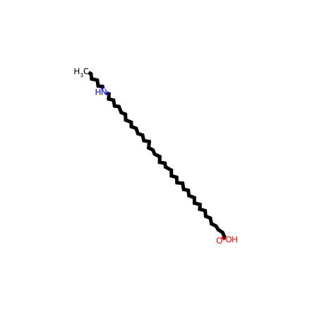 CCCCCCNCCCCCCCCCCCCCCCCCCCCCCCCCCCCCCCCCCCCCCCCCC(=O)O